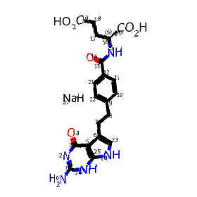 Nc1nc(=O)c2c(CCc3ccc(C(=O)N[C@@H](CCC(=O)O)C(=O)O)cc3)c[nH]c2[nH]1.[NaH]